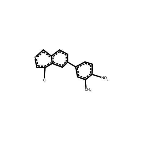 Cc1cc(-c2ccc3cncc(Cl)c3c2)ccc1[N+](=O)[O-]